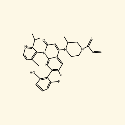 C=CC(=O)N1CCN(c2cc(=O)n(-c3c(C)ccnc3C(C)C)c3nc(-c4c(O)cccc4F)c(F)cc23)C(C)C1